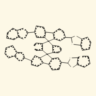 c1ccc2c(c1)NC(c1ccc3c(c1)C1(c4cc(-c5nc6ccccc6s5)ccc4-3)c3ccccc3C3(c4cc(-c5nc6ccccc6s5)ccc4-c4ccc(C5Nc6ccccc6S5)cc43)c3ccccc31)S2